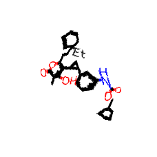 CCC1(CCc2oc(=O)c(C)c(O)c2C2CC2c2cccc(NC(=O)OCc3ccccc3)c2)C=CC=CC1